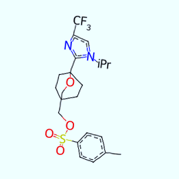 Cc1ccc(S(=O)(=O)OCC23CCC(c4nc(C(F)(F)F)cn4C(C)C)(CC2)OC3)cc1